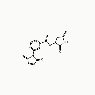 O=C1CC(OC(=O)c2cccc(N3C(=O)C=CC3=O)c2)C(=O)N1